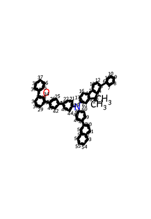 CC1(C)c2cc(-c3ccccc3)ccc2-c2ccc(N(c3ccc(-c4ccc(-c5cccc6c5oc5ccccc56)cc4)cc3)c3ccc(-c4ccc5ccccc5c4)cc3)cc21